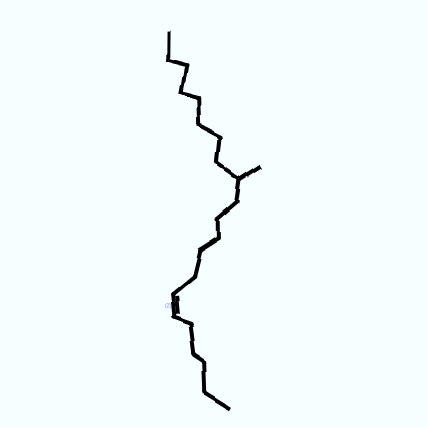 CCCCC/C=C\CCCCCC(C)CCCCCCCC